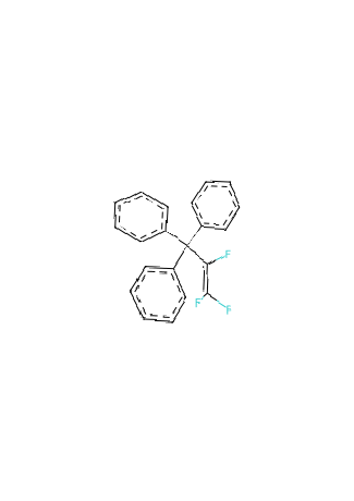 FC(F)=C(F)C(c1ccccc1)(c1ccccc1)c1ccccc1